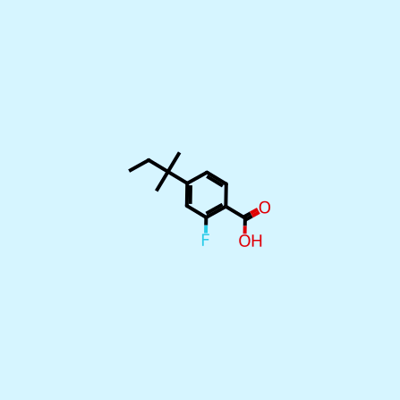 CCC(C)(C)c1ccc(C(=O)O)c(F)c1